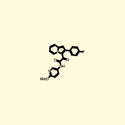 COc1ccc(NC(=O)C(=O)c2c(-c3ccc(F)cc3)cc3ccccn23)cn1